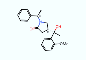 COc1ccccc1C(C)(O)[C@@H]1CC(=O)N([C@H](C)c2ccccc2)C1